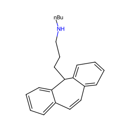 CCCCNCCCC1c2ccccc2C=Cc2ccccc21